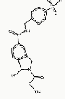 CCS(=O)(=O)c1ccc(CNC(=O)c2ccc3c(c2)CN(C(=O)OC(C)(C)C)C3C(C)C)cc1